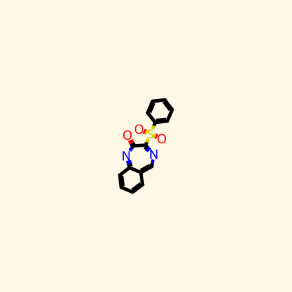 O=c1nc2ccccc2cnc1S(=O)(=O)c1ccccc1